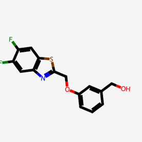 OCc1cccc(OCc2nc3cc(F)c(F)cc3s2)c1